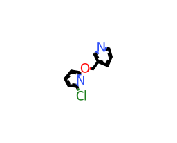 Clc1cccc(OCc2cccnc2)n1